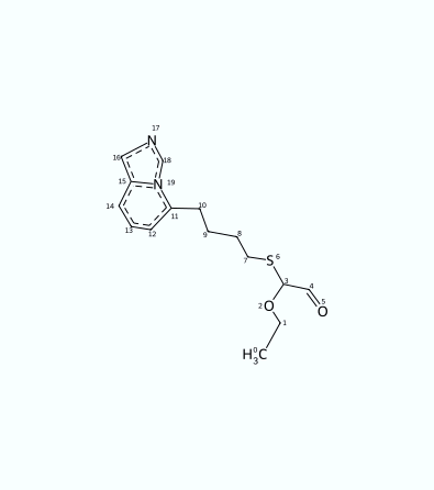 CCOC(C=O)SCCCCc1cccc2cncn12